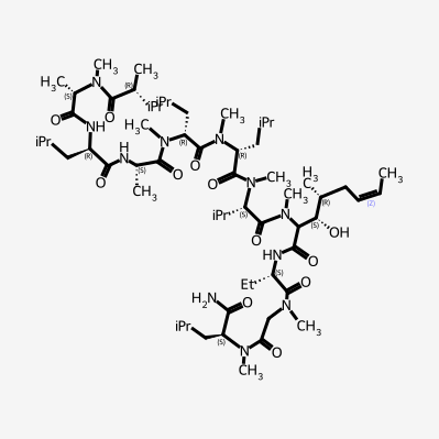 C/C=C\C[C@@H](C)[C@H](O)C(C(=O)N[C@@H](CC)C(=O)N(C)CC(=O)N(C)[C@@H](CC(C)C)C(N)=O)N(C)C(=O)[C@H](C(C)C)N(C)C(=O)[C@@H](CC(C)C)N(C)C(=O)[C@@H](CC(C)C)N(C)C(=O)[C@H](C)NC(=O)[C@@H](CC(C)C)NC(=O)[C@H](C)N(C)C(=O)[C@H](C)C(C)C